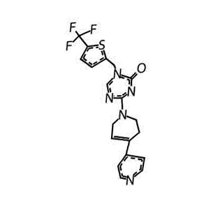 O=c1nc(N2CC=C(c3ccncc3)CC2)ncn1Cc1ccc(C(F)(F)F)s1